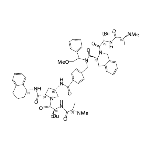 CN[C@@H](C)C(=O)N[C@H](C(=O)N1C[C@@H](NC(=O)c2ccc(CN(C(=O)[C@@H]3Cc4ccccc4CN3C(=O)[C@@H](NC(=O)[C@H](C)NC)C(C)(C)C)C(COC)c3ccccc3)cc2)C[C@H]1C(=O)N[C@@H]1CCCc2ccccc21)C(C)(C)C